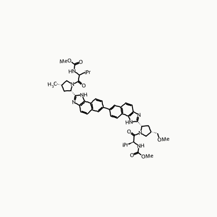 COC[C@H]1C[C@@H](c2nc3ccc4cc(-c5ccc6c(ccc7nc([C@@H]8C[C@H](C)CN8C(=O)C(NC(=O)OC)C(C)C)[nH]c76)c5)ccc4c3[nH]2)N(C(=O)[C@@H](NC(=O)OC)C(C)C)C1